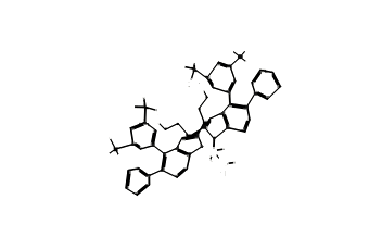 CCCCC1=Cc2c(ccc(-c3ccccc3)c2-c2cc(C(C)(C)C)cc(C(C)(C)C)c2)[CH]1[Zr]([Cl])([Cl])([CH]1C(CCCC)=Cc2c1ccc(-c1ccccc1)c2-c1cc(C(C)(C)C)cc(C(C)(C)C)c1)[SiH](C)C